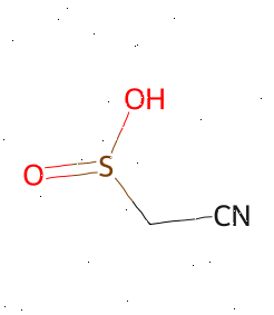 N#CCS(=O)O